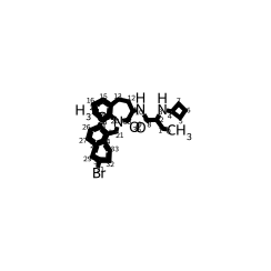 CCC(NC1CCC1)C(=O)NC1CCc2ccccc2N(Cc2c(OC)ccc3cc(Br)ccc23)C1=O